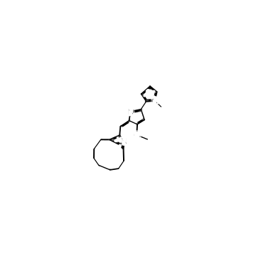 COC1=CC(c2cccn2C)=NC1=Cc1[nH]c2cc1CCCCCCC2